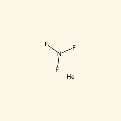 FN(F)F.[He]